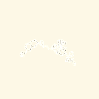 CC(C)(C)[Si](C)(C)O[C@@H](CCCOc1ccc2ccc(Cl)cc2c1)Cn1cnc(C(N)=O)c1